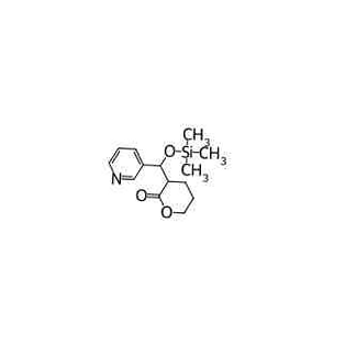 C[Si](C)(C)OC(c1cccnc1)C1CCCOC1=O